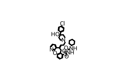 O=C(NC1CCCCC1)NS(=O)(=O)c1cccc2c1CC(=CCCN1CCC(O)(c3ccc(Cl)cc3)CC1)c1cccnc1O2